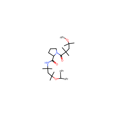 CCCOC(C)(C)CC(C)(C)C(=O)N1CCCC1C(=O)NC(C)(C)CC(C)(C)OC(CCC)CCC